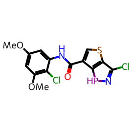 COc1cc(NC(=O)c2csc3c(Cl)n[pH]c23)c(Cl)c(OC)c1